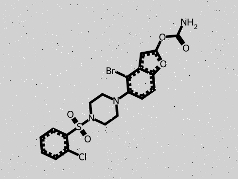 NC(=O)Oc1cc2c(Br)c(N3CCN(S(=O)(=O)c4ccccc4Cl)CC3)ccc2o1